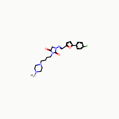 CN1CCN(CCCCN2C(=O)CN(N=Cc3ccc(-c4ccc(F)cc4)o3)C2=O)CC1